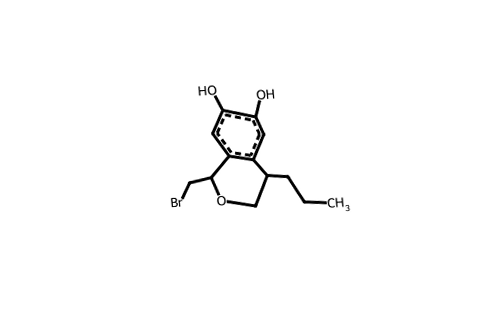 CCCC1COC(CBr)c2cc(O)c(O)cc21